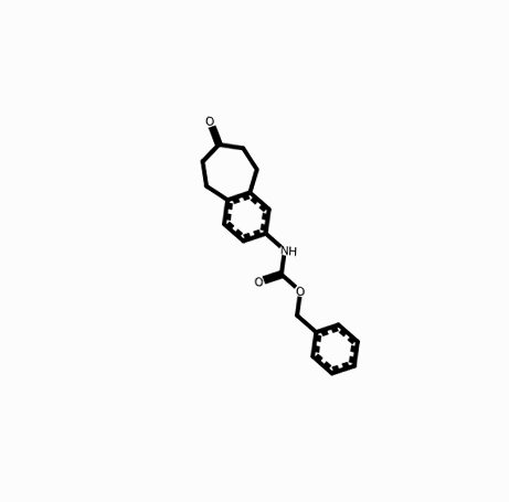 O=C1CCc2ccc(NC(=O)OCc3ccccc3)cc2CC1